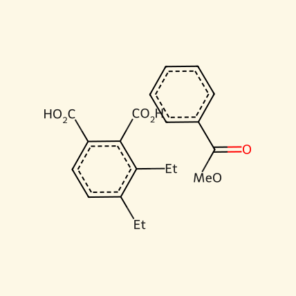 CCc1ccc(C(=O)O)c(C(=O)O)c1CC.COC(=O)c1ccccc1